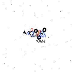 COc1cc(Nc2nc3ccccc3nc2NS(=O)(=O)c2cccc(NC(=O)C3CN(CC4CC4)C3)c2)cc(OC)c1